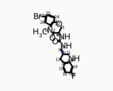 CN1C(=O)[C@H](NC(=O)N/C=C(\C=N)Cc2ccc(F)cc2)COc2ccc(Br)cc21